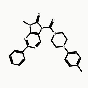 Cc1ccc(N2CCN(C(=O)n3c(=O)n(C)c4nc(-c5ccccc5)ncc43)CC2)cc1